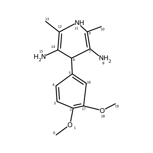 COc1ccc(C2C(N)=C(C)NC(C)=C2N)cc1OC